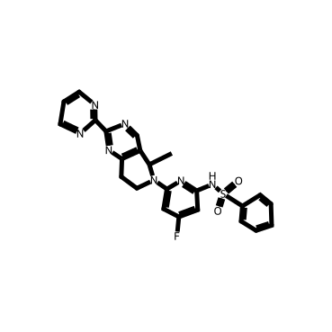 CC1c2cnc(-c3ncccn3)nc2CCN1c1cc(F)cc(NS(=O)(=O)c2ccccc2)n1